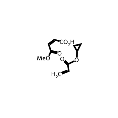 C=CC(=O)OC1CC1.COC(=O)/C=C\C(=O)O